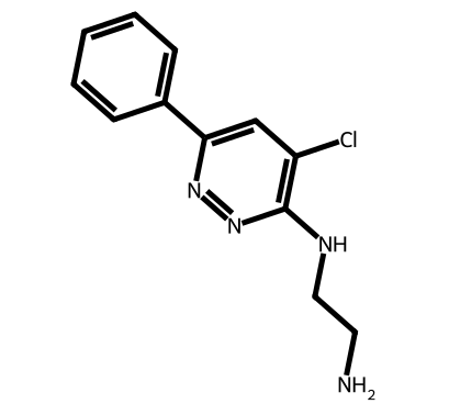 NCCNc1nnc(-c2ccccc2)cc1Cl